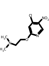 CN(C)CCOc1cc(Cl)c([N+](=O)[O-])cn1